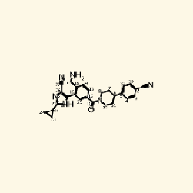 N#Cc1ccc(C2CCN(C(=O)c3ccc(CN)c(-c4[nH]c(C5CC5)nc4C#N)c3)CC2)cc1